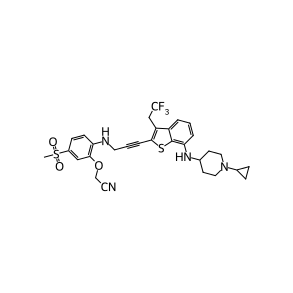 CS(=O)(=O)c1ccc(NCC#Cc2sc3c(NC4CCN(C5CC5)CC4)cccc3c2CC(F)(F)F)c(OCC#N)c1